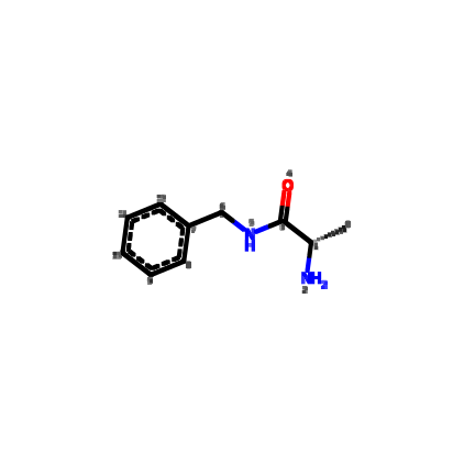 C[C@H](N)C(=O)N[CH]c1ccccc1